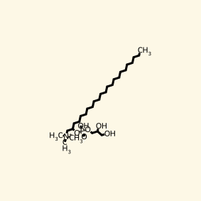 CCCCCCCCCCCCCCCCCCCCCC(C[N+](C)(C)C)OP(=O)(O)OCC(O)CO